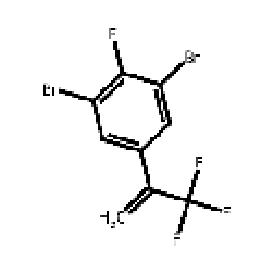 C=C(c1cc(Br)c(F)c(Br)c1)C(F)(F)F